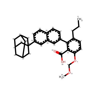 CCCc1ccc(OCOC)c(C(=O)O)c1-c1ccc2ccc(C34CC5CC(CC(C5)C3)C4)cc2c1